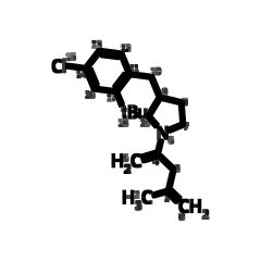 C=C(C)CC(=C)N1CCC(Cc2ccc(Cl)cc2C(C)(C)C)C1